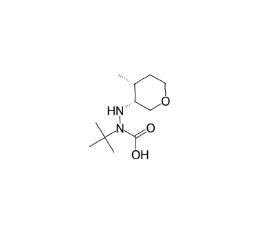 C[C@@H]1CCOC[C@@H]1NN(C(=O)O)C(C)(C)C